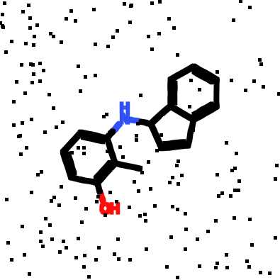 Cc1c(O)cccc1NC1C=Cc2ccccc21